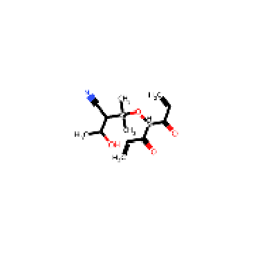 C=CC(=O)[SiH](O[Si](C)(C)C(C#N)C(C)O)C(=O)C=C